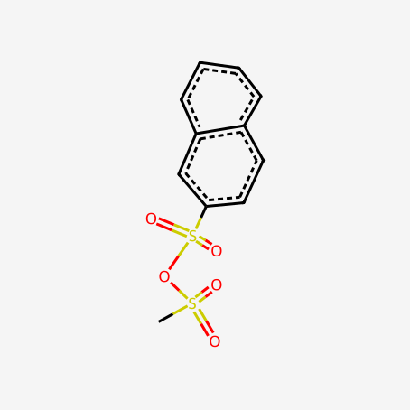 CS(=O)(=O)OS(=O)(=O)c1ccc2ccccc2c1